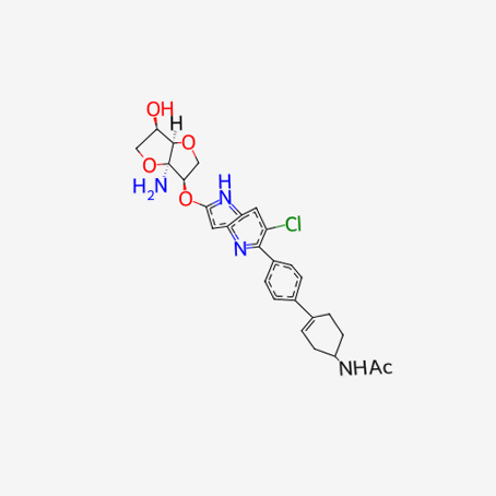 CC(=O)NC1CC=C(c2ccc(-c3nc4cc(O[C@@H]5CO[C@@H]6[C@H](O)CO[C@@]65N)[nH]c4cc3Cl)cc2)CC1